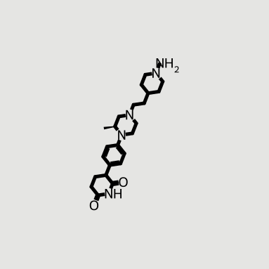 C[C@H]1CN(CCC2CCN(N)CC2)CCN1c1ccc(C2CCC(=O)NC2=O)cc1